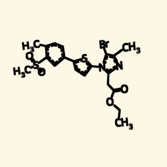 CCOC(=O)Cc1nc(C)c(Br)n1-c1ccc(-c2ccc(C)c(S(C)(=O)=O)c2)s1